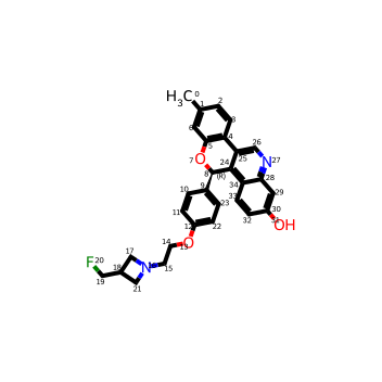 Cc1ccc2c(c1)O[C@H](c1ccc(OCCN3CC(CF)C3)cc1)c1c-2cnc2cc(O)ccc12